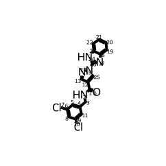 O=C(NCc1cc(Cl)cc(Cl)c1)c1cnn(-c2nc3ccccc3[nH]2)c1